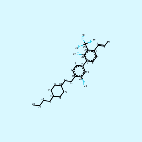 C/C=C/c1ccc(-c2ccc(CCC3CCC(CCCC)CC3)c(F)c2)c(F)c1C(F)(F)F